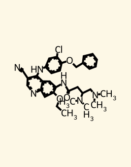 CCOc1cc2ncc(C#N)c(Nc3ccc(OCc4ccccc4)c(Cl)c3)c2cc1NC(=O)CC(CN(C)C)N(C)C